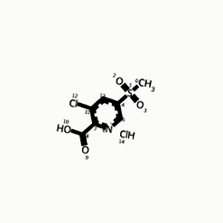 CS(=O)(=O)c1cnc(C(=O)O)c(Cl)c1.Cl